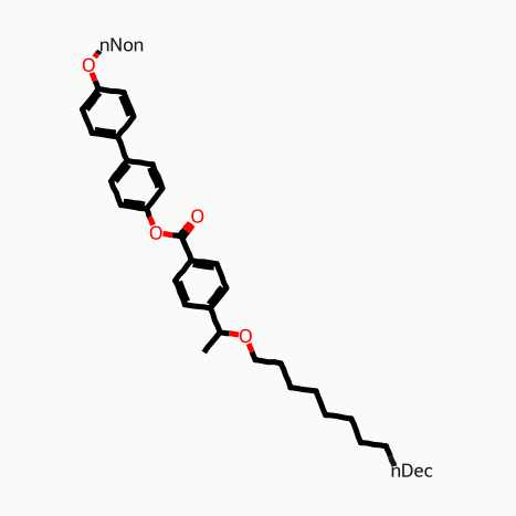 CCCCCCCCCCCCCCCCCCOC(C)c1ccc(C(=O)Oc2ccc(-c3ccc(OCCCCCCCCC)cc3)cc2)cc1